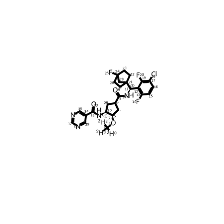 [2H]C([2H])([2H])O[C@@H]1CC(C(=O)N[C@H](c2c(F)ccc(Cl)c2F)C23CCC(F)(CC2)C3)C[C@@H]1NC(=O)c1cncnc1